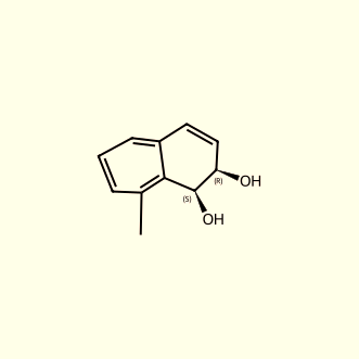 Cc1cccc2c1[C@H](O)[C@H](O)C=C2